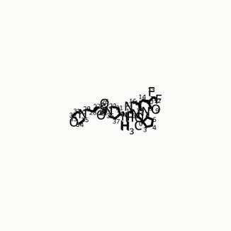 C[C@@]1(O)CCC[C@H]1n1c(=O)c(C(F)F)cc2cnc(NC3CCN(S(=O)(=O)/C=C/CN4CCOCC4)CC3)nc21